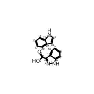 O=C(O)c1n[nH]c2ccccc12.c1ccc2[nH]ccc2c1